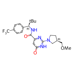 COC[C@@H]1CCN(c2nc(C(=O)N[C@@H](c3ccc(C(F)(F)F)cc3)C(C)(C)C)cc(=O)[nH]2)C1